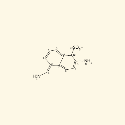 NC=c1cccc2c1=CC=C(N)C2S(=O)(=O)O